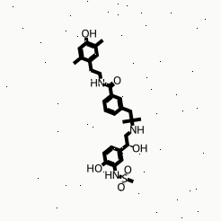 Cc1cc(CCNC(=O)c2cccc(CC(C)(C)NC[C@H](O)c3ccc(O)c(NS(C)(=O)=O)c3)c2)c(C)cc1O